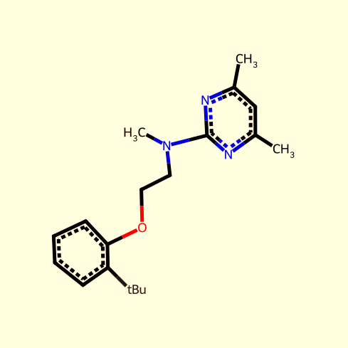 Cc1cc(C)nc(N(C)CCOc2ccccc2C(C)(C)C)n1